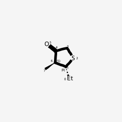 CC[C@H]1SCC(=O)[C@@H]1C